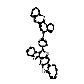 c1ccc2nc3c(cc(-c4ccc(-c5nc6cc7c(cc6c6oc8ccccc8c56)oc5ccccc57)cc4)c4ccccc43)cc2c1